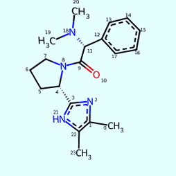 Cc1nc([C@@H]2CCCN2C(=O)[C@@H](c2ccccc2)N(C)C)[nH]c1C